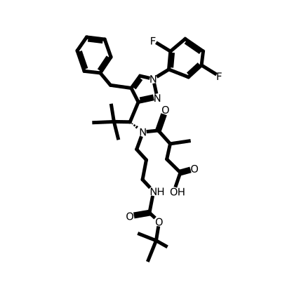 CC(CC(=O)O)C(=O)N(CCCNC(=O)OC(C)(C)C)[C@@H](c1nn(-c2cc(F)ccc2F)cc1Cc1ccccc1)C(C)(C)C